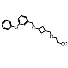 O=C(O)CCOCC1CC(OCc2cccc(Oc3ccccc3)c2)C1